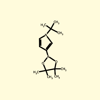 CC(C)(C)n1ccc(B2OC(C)(C)C(C)(C)O2)c1